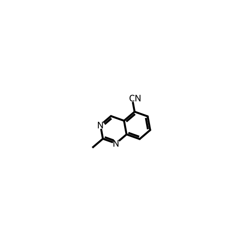 Cc1ncc2c(C#N)cccc2n1